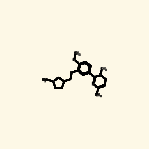 COc1ccc(C2=NC(C)=CCN2C)cc1OCC1CCN(C)C1